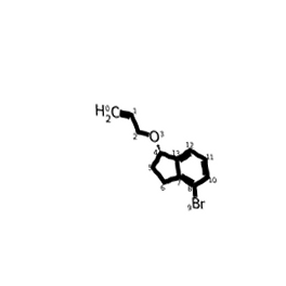 C=CCO[C@H]1CCc2c(Br)cccc21